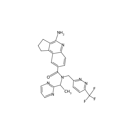 CC(c1ncccn1)N(Cc1ccc(C(F)(F)F)nn1)C(=O)c1ccc2nc(N)c3c(c2c1)CCC3